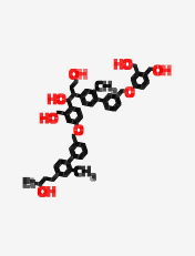 CCC(O)CCc1ccc(-c2cccc(COc3ccc(C(O)C(CCO)c4ccc(-c5cccc(COc6ccc(CO)c(CO)c6)c5)c(C)c4)c(CO)c3)c2)c(C)c1